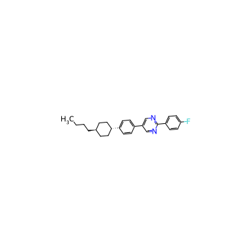 CCCC[C@H]1CC[C@H](c2ccc(-c3cnc(-c4ccc(F)cc4)nc3)cc2)CC1